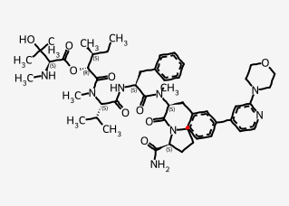 CC[C@H](C)[C@@H](OC(=O)[C@@H](NC)C(C)(C)O)C(=O)N(C)[C@H](C(=O)N[C@@H](Cc1ccccc1)C(=O)N(C)[C@@H](Cc1cccc(-c2ccnc(N3CCOCC3)c2)c1)C(=O)N1CCC[C@H]1C(N)=O)C(C)C